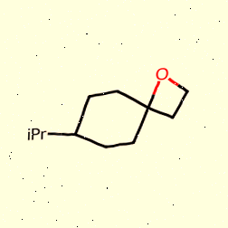 CC(C)C1CCC2(CCO2)CC1